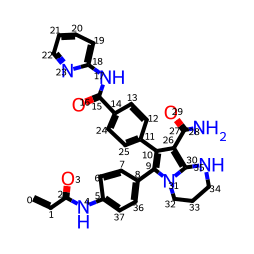 C=CC(=O)Nc1ccc(-c2c(-c3ccc(C(=O)Nc4ccccn4)cc3)c(C(N)=O)c3n2CCCN3)cc1